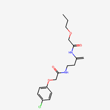 C=C(CCNC(=O)COc1ccc(Cl)cc1)NC(=O)COCCC